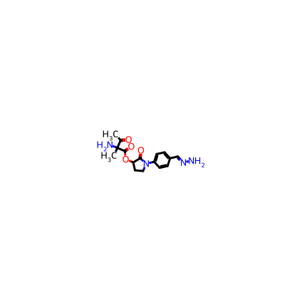 CC(=O)C(C)(N)C(=O)OC1CCN(c2ccc(C=NN)cc2)C1=O